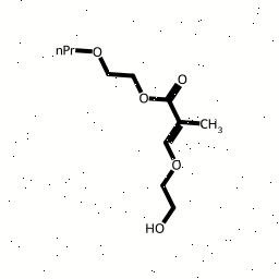 CCCOCCOC(=O)C(C)=COCCO